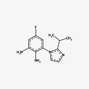 CC(C)c1nccn1-c1cc(F)cc(N)c1N